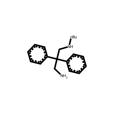 CCCCNCC(CN)(c1ccccc1)c1ccccc1